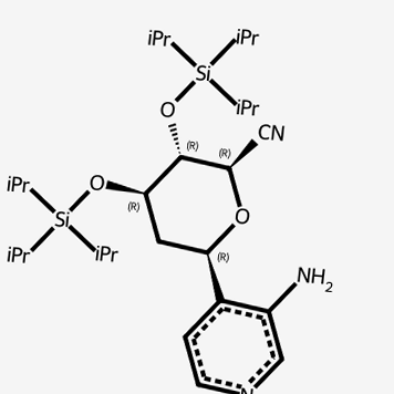 CC(C)[Si](O[C@@H]1[C@@H](C#N)O[C@@H](c2ccncc2N)C[C@H]1O[Si](C(C)C)(C(C)C)C(C)C)(C(C)C)C(C)C